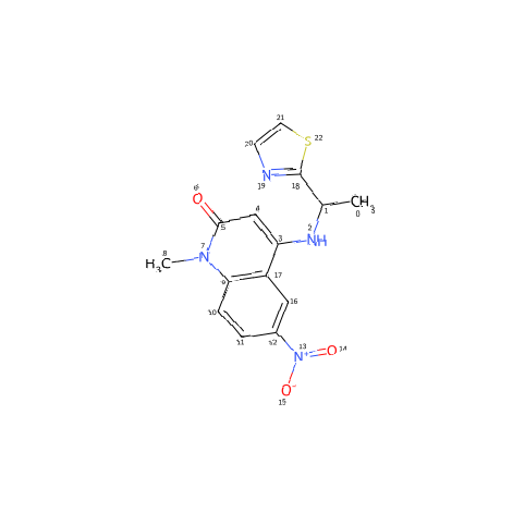 CC(Nc1cc(=O)n(C)c2ccc([N+](=O)[O-])cc12)c1nccs1